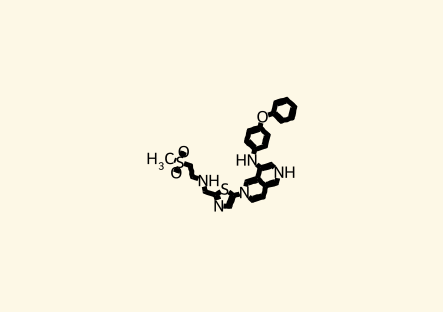 CS(=O)(=O)CCNCc1ncc(N2C=CC3=CNC=C(Nc4ccc(Oc5ccccc5)cc4)C3=C2)s1